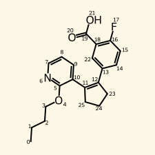 CCCCOc1ncccc1C1=C(c2ccc(F)c(C(=O)O)c2)CCC1